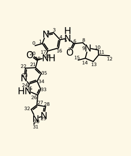 Cc1ncc(NC(=O)CN2CC(C)CC2C)cc1NC(=O)c1cnc2[nH]c(-c3cnn(C)c3)cc2c1